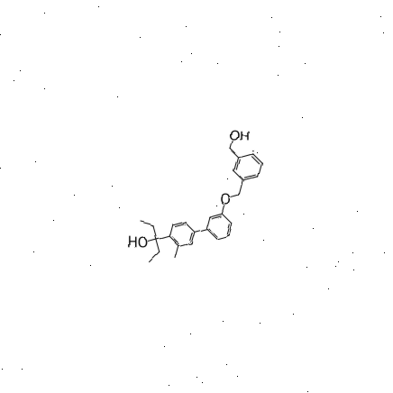 CCC(O)(CC)c1ccc(-c2cccc(OCc3cc[c]c(CO)c3)c2)cc1C